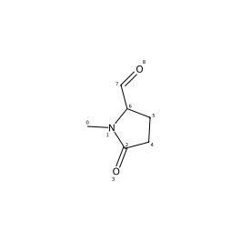 CN1C(=O)CCC1C=O